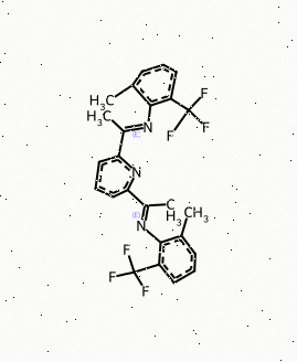 C/C(=N\c1c(C)cccc1C(F)(F)F)c1cccc(/C(C)=N/c2c(C)cccc2C(F)(F)F)n1